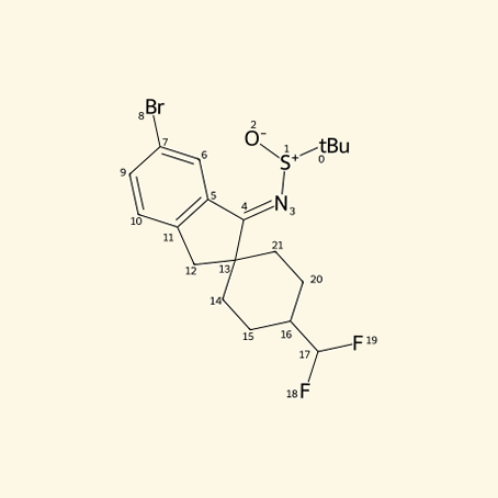 CC(C)(C)[S+]([O-])/N=C1\c2cc(Br)ccc2CC12CCC(C(F)F)CC2